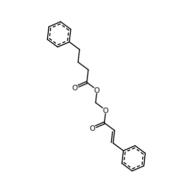 O=C(C=Cc1ccccc1)OCOC(=O)CCCc1ccccc1